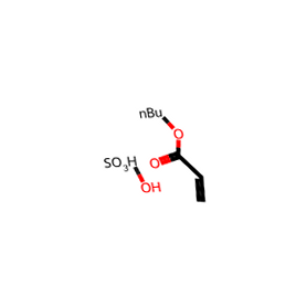 C=CC(=O)OCCCC.O=S(=O)(O)O